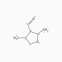 CC1COC(C)C1C=O